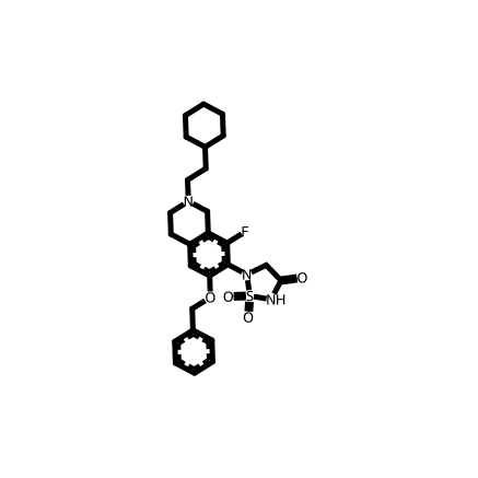 O=C1CN(c2c(OCc3ccccc3)cc3c(c2F)CN(CCC2CCCCC2)CC3)S(=O)(=O)N1